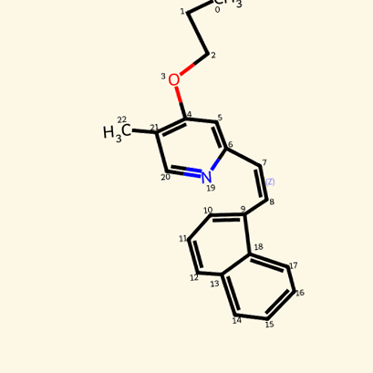 CCCOc1cc(/C=C\c2cccc3ccccc23)ncc1C